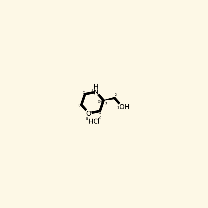 Cl.OC[C@H]1COCCN1